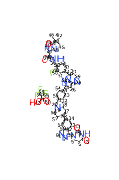 Cn1nc(N2CCC(=O)NC2=O)c2ccc(C3CCN(Cc4ccc(-c5cc6nccc(-c7ccc(CNC(=O)c8noc(C(C)(C)C)n8)c(F)c7)n6n5)cc4)CC3)cc21.O=C(O)C(F)(F)F